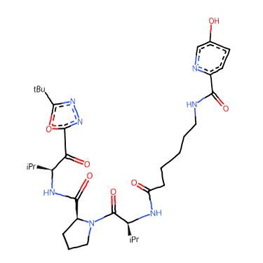 CC(C)[C@H](NC(=O)[C@@H]1CCCN1C(=O)[C@@H](NC(=O)CCCCCNC(=O)c1ccc(O)cn1)C(C)C)C(=O)c1nnc(C(C)(C)C)o1